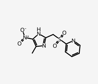 Cc1nc(CS(=O)(=O)c2ccccn2)[nH]c1[N+](=O)[O-]